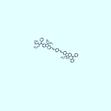 C=C/C(=C\C=C/C)N(C1=CC=CCC1)c1ccc2c(c1)C(C)(C)C1=CC(/C=C/c3ccc(/C=C/c4ccc5c(c4)C(C)(C)c4cc(N(c6ccccc6)c6ccccc6)ccc4-5)cc3)=CCC12